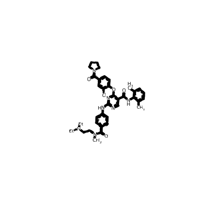 CCN(CC)CCN(C)C(=O)c1ccc(Nc2ncc(C(=O)Nc3c(C)cccc3C)c(Oc3ccc(C(=O)N4CCCC4)cc3Cl)n2)cc1